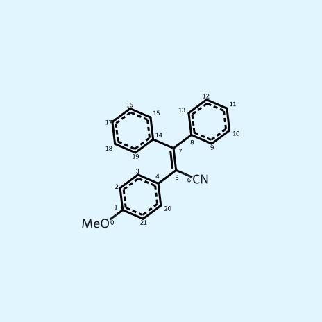 COc1ccc(C(C#N)=C(c2ccccc2)c2ccccc2)cc1